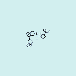 CCC(=O)c1cccc(C(=O)Nc2ccc3occ(C4CCN5CCCC5C4)c3c2)c1